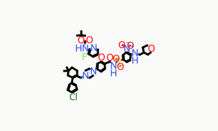 CC1(C)CCC(CN2CCN(c3ccc(C(=O)NS(=O)(=O)c4ccc(NCC5CCOCC5)c([N+](=O)[O-])c4)c(Oc4cnc(NC(=O)OC(C)(C)C)c(F)c4)c3)CC2)=C(c2ccc(Cl)cc2)C1